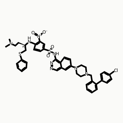 CN(C)CC[C@H](CSc1ccccc1)Nc1ccc(S(=O)(=O)Nc2nncc3cc(N4CCN(Cc5ccccc5-c5ccc(Cl)cc5)CC4)ccc23)cc1[N+](=O)[O-]